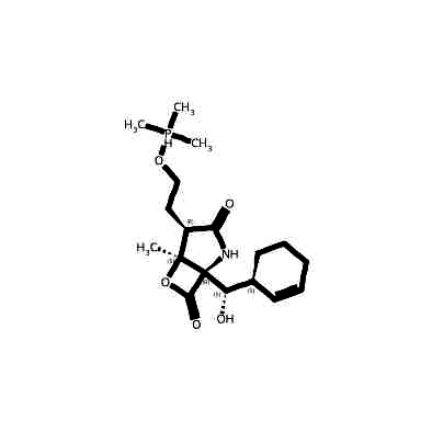 C[C@@]12OC(=O)[C@]1([C@@H](O)[C@@H]1C=CCCC1)NC(=O)[C@@H]2CCO[PH](C)(C)C